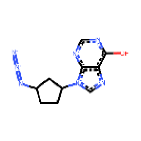 [N-]=[N+]=NC1CCC(n2cnc3c(O)ncnc32)C1